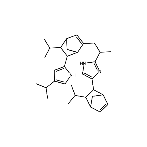 CC(C)c1c[nH]c(C2C3CC(C=C3CC(C)c3nc(C4C5C=CC(C5)C4C(C)C)c[nH]3)C2C(C)C)c1